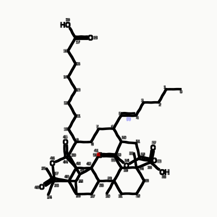 CCCC/C=C/C(CCC(CCCCCCCC(=O)O)CC1C(C(C)C)C2CC3C4(C)CCCC(C)(C(=O)O)C4CCC13C1C(=O)OC(=O)C21)C1CC(=O)OC1=O